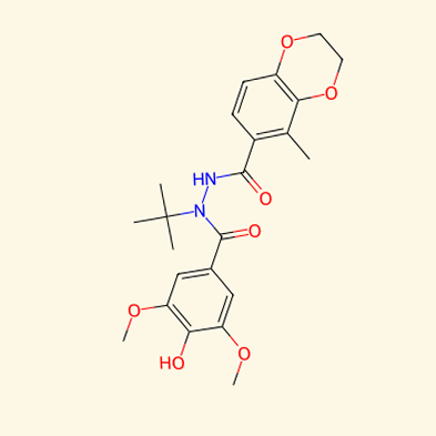 COc1cc(C(=O)N(NC(=O)c2ccc3c(c2C)OCCO3)C(C)(C)C)cc(OC)c1O